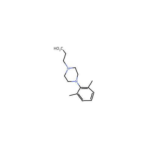 Cc1cccc(C)c1N1CCN(CCC(=O)O)CC1